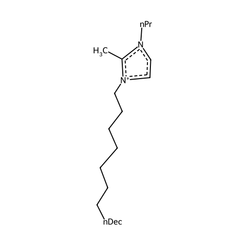 CCCCCCCCCCCCCCCCC[n+]1ccn(CCC)c1C